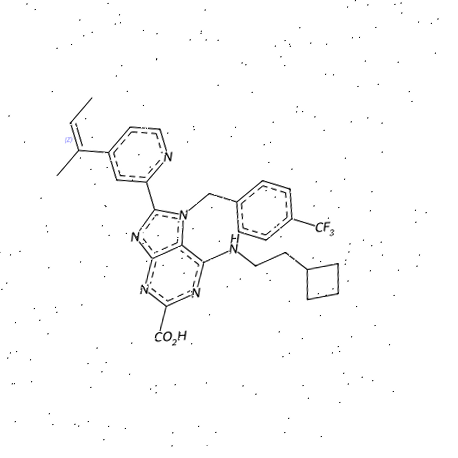 C/C=C(/C)c1ccnc(-c2nc3nc(C(=O)O)nc(NCCC4CCC4)c3n2Cc2ccc(C(F)(F)F)cc2)c1